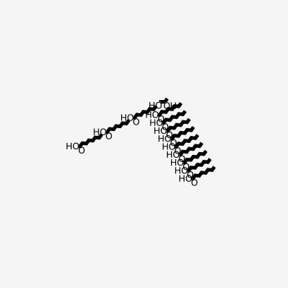 CC(O)CO.CCCCCCCC(=O)O.CCCCCCCC(=O)O.CCCCCCCC(=O)O.CCCCCCCC(=O)O.CCCCCCCC(=O)O.CCCCCCCC(=O)O.CCCCCCCC(=O)O.CCCCCCCC(=O)O.CCCCCCCC(=O)O.CCCCCCCC(=O)O.CCCCCCCC(=O)O.CCCCCCCC(=O)O